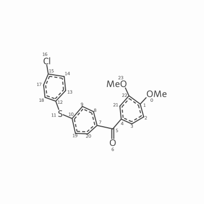 COc1ccc(C(=O)c2ccc(Sc3ccc(Cl)cc3)cc2)cc1OC